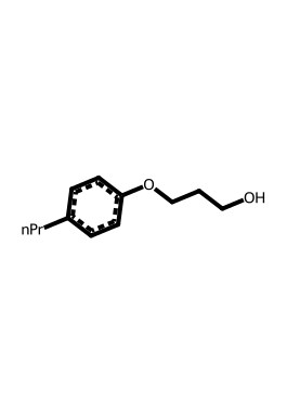 CCCc1ccc(OCCCO)cc1